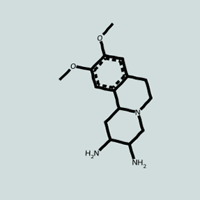 COc1cc2c(cc1OC)C1CC(N)C(N)CN1CC2